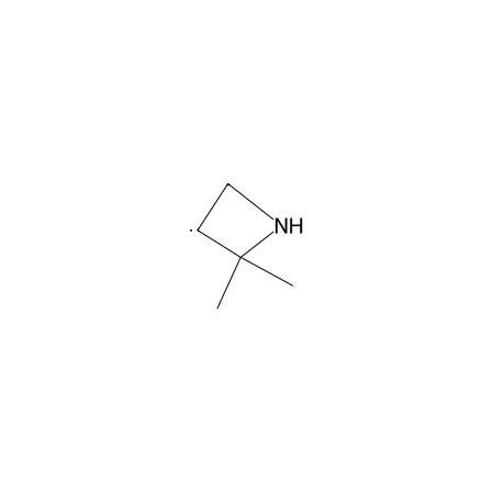 CC1(C)[CH]CN1